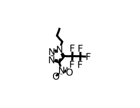 CCCn1nnc([N+](=O)[O-])c1C(F)(F)C(F)(F)F